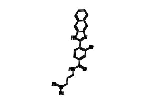 CCN(CC)CCCNC(=O)c1ccc(-c2nc3cc4ccccc4cc3[nH]2)c(Br)c1